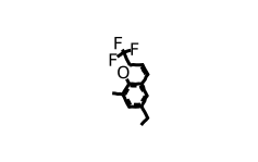 CCc1cc(C)c2c(c1)C=CC(C(F)(F)F)O2